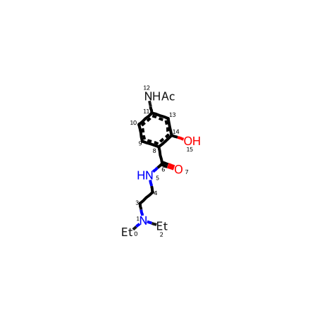 CCN(CC)CCNC(=O)c1ccc(NC(C)=O)cc1O